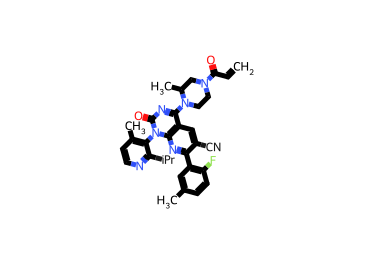 C=CC(=O)N1CCN(c2nc(=O)n(-c3c(C)ccnc3C(C)C)c3nc(-c4cc(C)ccc4F)c(C#N)cc23)C(C)C1